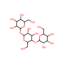 OCC1OC(OC2OC(CO)C(OC3OC(CO)C(O)C(O)[C@@H]3O)C(O)[C@@H]2O)C(O)C(O)C1O